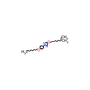 CCCCCCCCOc1ccc(-c2ncc(OCCCCCCC[C@@H](C)CC)cn2)cc1